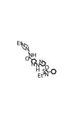 CCc1nc(-c2ccccc2)c(Oc2ccnc(Nc3ccc(C(=O)NCCN4CCN(CC)CC4)cn3)c2)s1